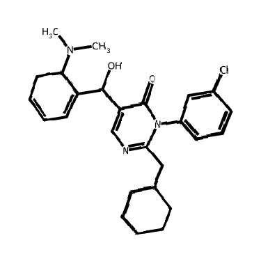 CN(C)C1CC=CC=C1C(O)c1cnc(CC2CCCCC2)n(-c2cccc(Cl)c2)c1=O